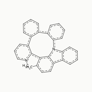 Cc1ccc2c3ccccc3n3c4ccccc4c4ccccc4c4ccc[n+](C)c4c1c23